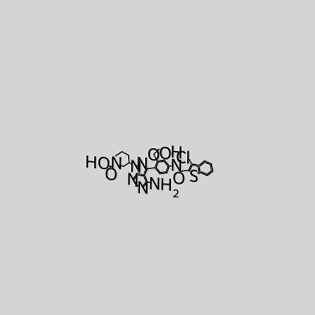 Nc1ncnc2c1c(-c1ccc(NC(=O)c3sc4ccccc4c3Cl)c3c1OCO3)nn2[C@@H]1CCCN(C(=O)O)C1